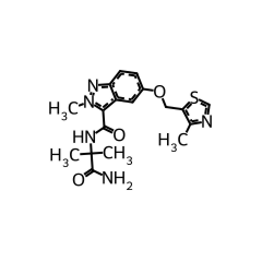 Cc1ncsc1COc1ccc2nn(C)c(C(=O)NC(C)(C)C(N)=O)c2c1